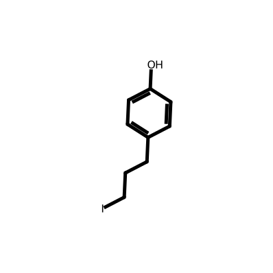 Oc1ccc(CCCI)cc1